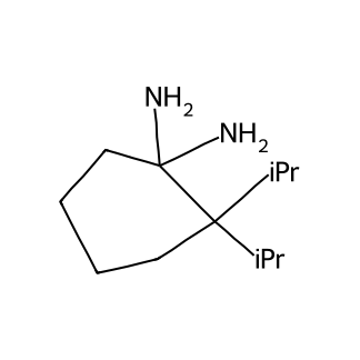 CC(C)C1(C(C)C)CCCCC1(N)N